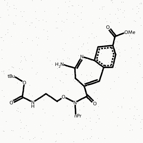 CCCN(OCCNC(=O)OC(C)(C)C)C(=O)C1=Cc2ccc(C(=O)OC)cc2N=C(N)C1